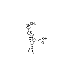 CCOc1ccc2c(c1)c(CCC(=O)O)cn2S(=O)(=O)c1ccc(-c2cnn(C)c2)s1